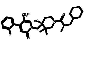 C[C@H](CC1CCCCC1)C(=O)N1CC[C@@](O)(Cn2cc(C(=O)O)c(-c3ccccc3F)cc2=O)C(C)(C)C1